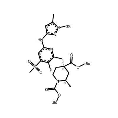 Cc1cc(Nc2cc(S(C)(=O)=O)c(F)c(C[C@@]3(C(=O)OC(C)(C)C)CCN(C(=O)OC(C)(C)C)[C@H](C)C3)n2)nn1C(C)(C)C